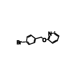 Brc1ccc(COc2ccc[c]n2)cc1